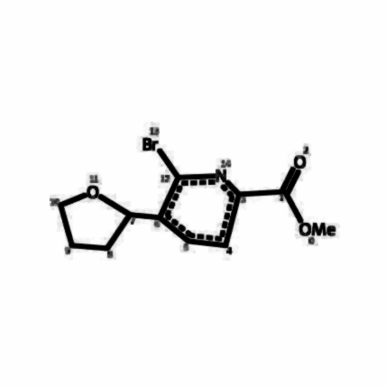 COC(=O)c1ccc(C2CCCO2)c(Br)n1